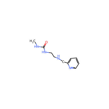 CNC(=O)NCCNCc1ccccn1